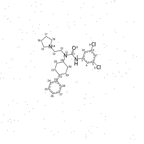 O=C(Nc1cc(Cl)cc(Cl)c1)N(CCN1CCCC1)C1CCC(c2ccccc2)CC1